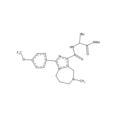 CNC(=O)C(NC(=O)c1nc(-c2ccc(OC(F)(F)F)cc2)n2c1CN(C)CCC2)C(C)(C)C